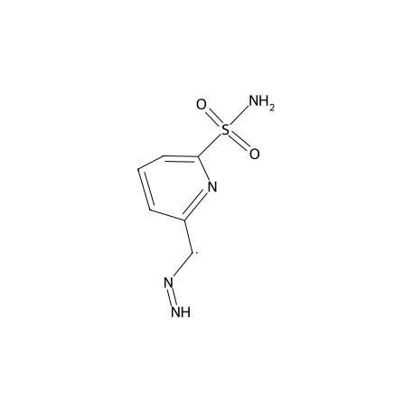 N=N[CH]c1cccc(S(N)(=O)=O)n1